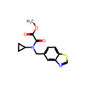 COC(=O)C(=O)N(Cc1ccc2scnc2c1)C1CC1